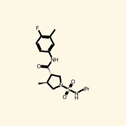 Cc1cc(NC(=O)[C@@H]2CN(S(=O)(=O)NC(C)C)C[C@H]2C)ccc1F